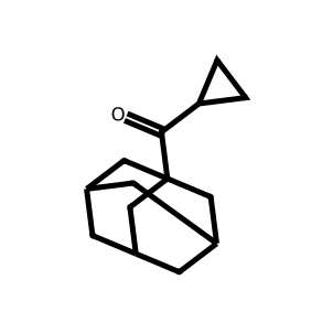 O=C(C1CC1)C12CC3CC(CC(C3)C1)C2